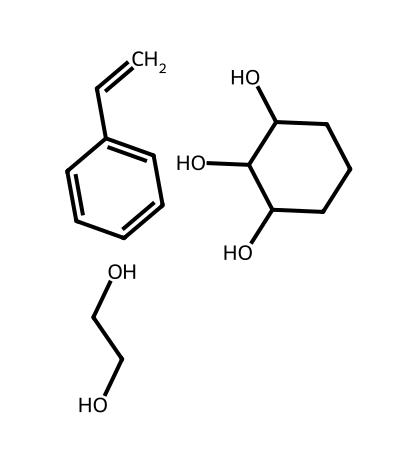 C=Cc1ccccc1.OC1CCCC(O)C1O.OCCO